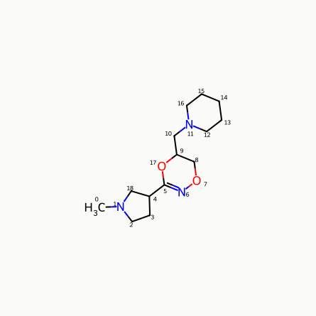 CN1CCC(C2=NOCC(CN3CCCCC3)O2)C1